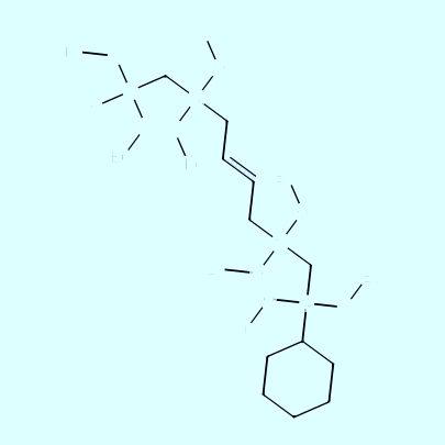 CCO[Si](C)(C[Si](C/C=C/C[Si](C[Si](OCC)(OCC)C1CCCCC1)(OCC)OCC)(OCC)OCC)OCC